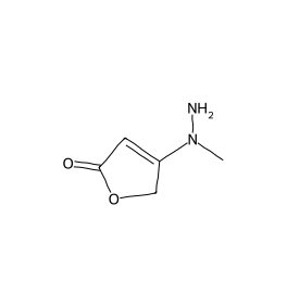 CN(N)C1=CC(=O)OC1